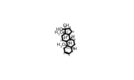 C[C@]12CC=CC[C@@H]1CC[C@@H]1[C@@H]2CC[C@@]2(C)[C@H]1CC[C@]2(C)O